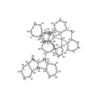 c1ccc2c(c1)Sc1cccc(-n3c4ccccc4c4cc(-n5c6ccccc6n6c7ccccc7nc56)ccc43)c1C21c2ccccc2-c2ccccc21